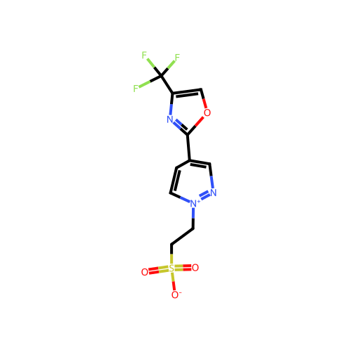 O=S(=O)([O-])CC[n+]1ccc(-c2nc(C(F)(F)F)co2)cn1